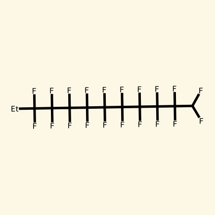 CCC(F)(F)C(F)(F)C(F)(F)C(F)(F)C(F)(F)C(F)(F)C(F)(F)C(F)(F)C(F)(F)C(F)F